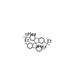 CCCCCCC(C)(CC)c1ccc2c(c1)C1(c3cc(C)ccc3-c3ccc(C)cc31)c1cc(C(C)(CC)CCCCCC)ccc1-2